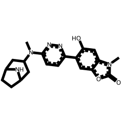 CN(c1ccc(-c2cc3oc(=O)n(C)c3cc2O)nn1)C1CC2CCC(C1)N2